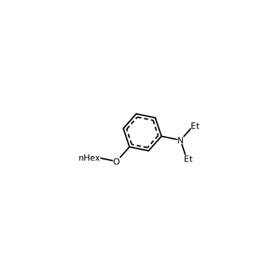 CCCCCCOc1cccc(N(CC)CC)c1